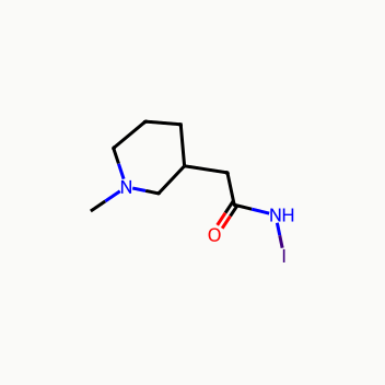 CN1CCCC(CC(=O)NI)C1